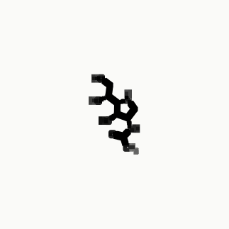 CC(=O)N[C@H]1CN[C@@H]([C@H](O)CO)[C@@H]1O